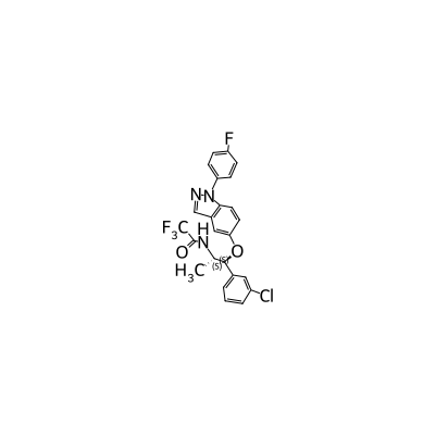 C[C@H](NC(=O)C(F)(F)F)[C@@H](Oc1ccc2c(cnn2-c2ccc(F)cc2)c1)c1cccc(Cl)c1